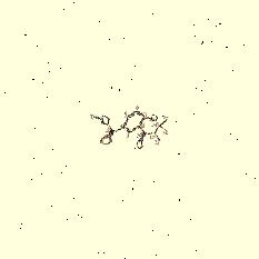 COC(=O)c1ccc2c(c1)C(=O)C(C)C(C)(C)O2